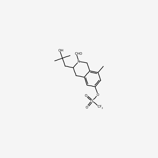 Cc1cc(OS(=O)(=O)C(F)(F)F)cc2c1CN(C=O)C(CC(C)(C)O)C2